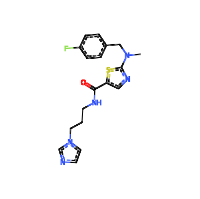 CN(Cc1ccc(F)cc1)c1ncc(C(=O)NCCCn2ccnc2)s1